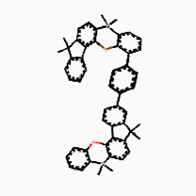 CC1(C)c2cc(-c3ccc(-c4cccc5c4Sc4c(ccc6c4-c4ccccc4C6(C)C)[Si]5(C)C)cc3)ccc2-c2c1ccc1c2Oc2ccccc2[Si]1(C)C